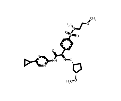 COCCN(C)S(=O)(=O)c1ccc(/C(=N\O[C@@H]2CC[C@@H](OC)C2)C(=O)Nc2cnc(C3CC3)cn2)cc1